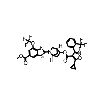 COC(=O)c1cc(OC(F)(F)F)c2nc(N3C[C@@H]4C[C@H]3C[C@@H]4OC(=O)c3c(-c4ccccc4C(F)(F)F)noc3C3CC3)sc2c1